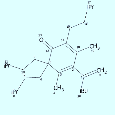 C=C(C1=C(C)C(CCC(C)C)(CCC(C)C)C(=O)C(CCC(C)C)=C1C)C(C)CC